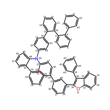 c1ccc(-c2ccccc2-c2ccccc2-c2ccc(N(c3ccc(-c4cccc(-c5oc6ccccc6c5-c5ccccc5)c4)cc3)c3ccccc3-c3ccccc3)cc2)cc1